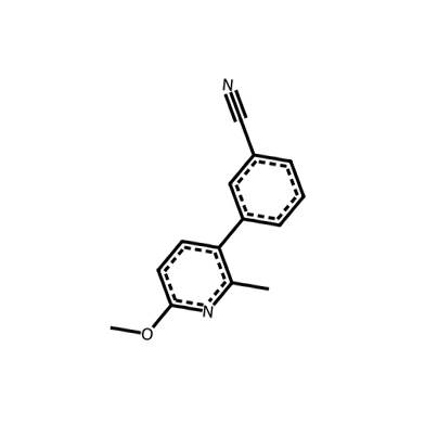 COc1ccc(-c2cccc(C#N)c2)c(C)n1